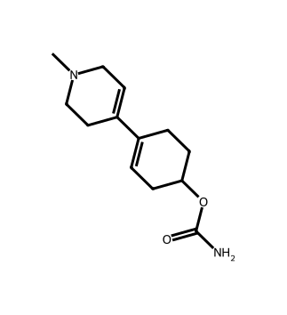 CN1CC=C(C2=CCC(OC(N)=O)CC2)CC1